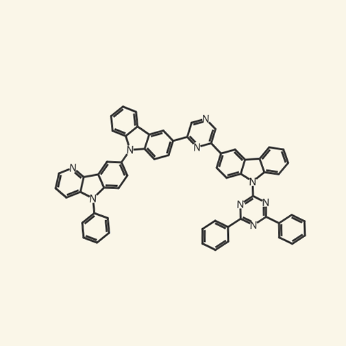 c1ccc(-c2nc(-c3ccccc3)nc(-n3c4ccccc4c4cc(-c5cncc(-c6ccc7c(c6)c6ccccc6n7-c6ccc7c(c6)c6ncccc6n7-c6ccccc6)n5)ccc43)n2)cc1